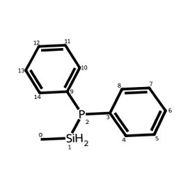 C[SiH2]P(c1ccccc1)c1ccccc1